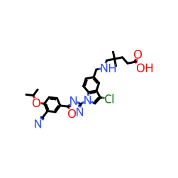 CC(C)Oc1ccc(-c2nc(-n3cc(Cl)c4cc(CNCC(C)(C)CCC(=O)O)ccc43)no2)cc1C#N